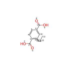 O=C(O)c1ccc(C(=O)O)cc1.[CH3][Na]